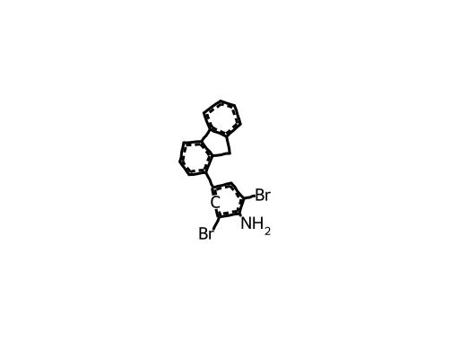 Nc1c(Br)cc(-c2cccc3c2Cc2ccccc2-3)cc1Br